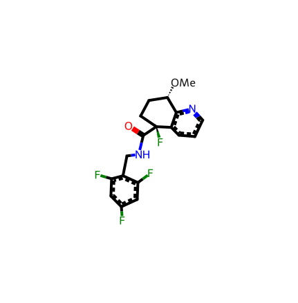 CO[C@H]1CC[C@@](F)(C(=O)NCc2c(F)cc(F)cc2F)c2cccnc21